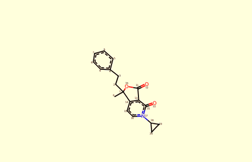 CC1(CCc2ccccc2)OC(=O)c2c1ccn(C1CC1)c2=O